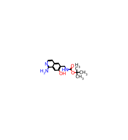 CC(C)(C)OC(=O)NCc1cc2ccnc(N)c2cc1O